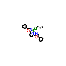 [Cl-].[Cl-].[Cl-].[Co+3].c1ccc(C2CN=C(c3cccc(C4=NCC(c5ccccc5)O4)n3)O2)cc1